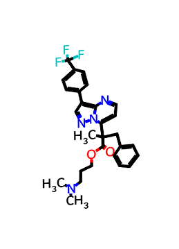 CN(C)CCCOC(=O)C(C)(Cc1ccccc1)c1ccnc2c(-c3ccc(C(F)(F)F)cc3)cnn12